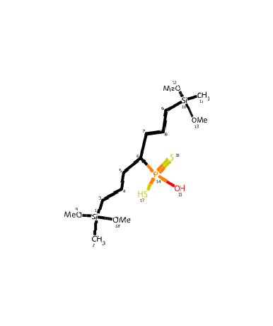 CO[Si](C)(CCCC(CCC[Si](C)(OC)OC)P(O)(=S)S)OC